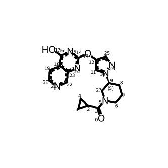 O=C(C1CC1)N1CCC[C@H](n2cc(Oc3nc(O)c4ccncc4n3)cn2)C1